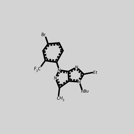 CCCCn1c(CC)nc2c1c(C)nn2-c1ccc(Br)cc1C(F)(F)F